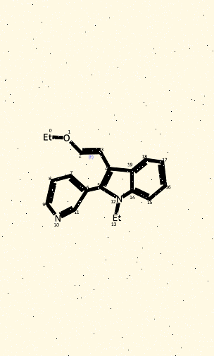 CCO/C=C/c1c(-c2cccnc2)n(CC)c2ccccc12